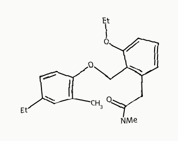 CCOc1cccc(CC(=O)NC)c1COc1ccc(CC)cc1C